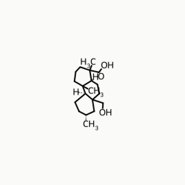 C[C@@H]1CC[C@@H]2C(CO)(CC[C@@H]3C(C)(C(=O)O)CCCC23C)C1